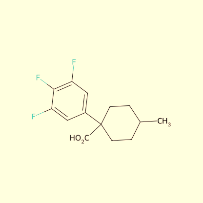 CC1CCC(C(=O)O)(c2cc(F)c(F)c(F)c2)CC1